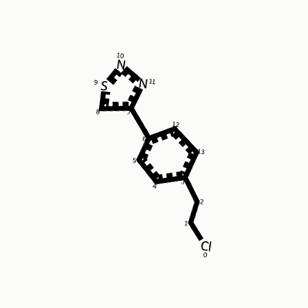 ClCCc1ccc(-c2csnn2)cc1